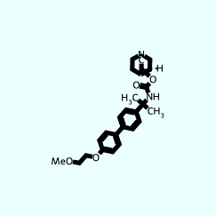 COCCOc1ccc(-c2ccc(C(C)(C)NC(=O)O[C@@H]3CN4CCC3CC4)cc2)cc1